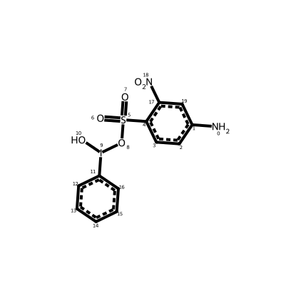 Nc1ccc(S(=O)(=O)OI(O)c2ccccc2)c([N+](=O)[O-])c1